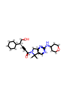 CC1(C)c2cnc(NC3CCOCC3)nc2CN1C(=O)C#C[C@H](CO)C1CCCCC1